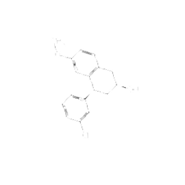 COc1ccc2c(c1)[C@H](c1cccc(Cl)c1)C[C@H](O)C2